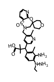 CCN(N)c1ccc(C(c2cnc(C)c(CN3CC4(CCOCC4)Oc4ncccc4[S+]3[O-])c2)C(C)(C)C(=O)O)c(C)c1N